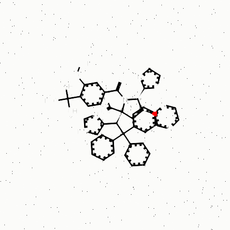 COc1cc(C(=O)N2[C@@H](c3nccs3)[C@@H](c3cnccn3)C[C@@]2(C(=O)O)C(c2c[nH]cn2)C(c2ccccc2)(c2ccccc2)c2ccccc2)ccc1C(C)(C)C